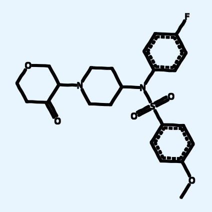 COc1ccc(S(=O)(=O)N(c2ccc(F)cc2)C2CCN(C3COCCC3=O)CC2)cc1